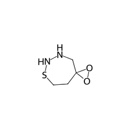 C1CC2(CNNS1)OO2